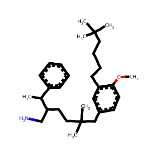 COc1ccc(CC(C)(C)CCC(CN)C(C)c2ccccc2)cc1CCCCC(C)(C)C